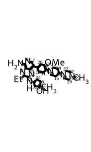 CCc1nc2c(N)ncc(-c3ccc(N4CCC(N5CCN(C)CC5)CC4)c(OC)c3)c2nc1N[C@@H]1CC[C@](C)(O)C1